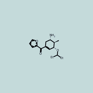 CCC(CC)O[C@@H]1C=C(C(=O)c2ccco2)C[C@H](N)[C@H]1C